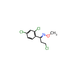 CON=C(CCCl)c1ccc(Cl)cc1Cl